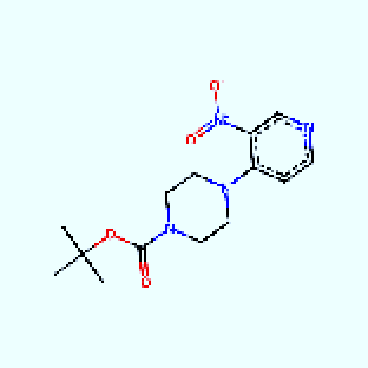 CC(C)(C)OC(=O)N1CCN(c2ccncc2[N+](=O)[O-])CC1